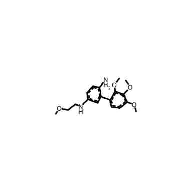 COCCNc1ccc(N)c(-c2ccc(OC)c(OC)c2OC)c1